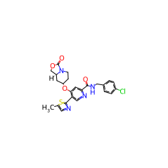 Cc1cnc(-c2cnc(C(=O)NCc3ccc(Cl)cc3)cc2O[C@H]2CCN3C(=O)OC[C@@H]3C2)s1